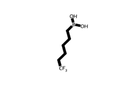 OB(O)CCCCCC(F)(F)F